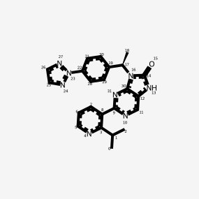 CC(C)c1ncccc1-c1ncc2[nH]c(=O)n([C@H](C)c3ccc(-n4nccn4)cc3)c2n1